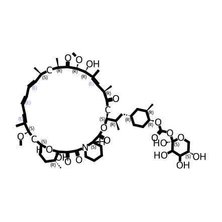 CO[C@H]1C[C@@H]2CC[C@@H](C)[C@@](O)(O2)C(=O)C(=O)N2CCCC[C@H]2C(=O)O[C@H]([C@H](C)C[C@H]2CC[C@@H](OC(=O)O[C@@]3(O)OC[C@H](O)C(O)C3O)[C@H](C)C2)CC(=O)[C@H](C)/C=C(\C)[C@@H](O)[C@@H](OC)C(=O)[C@H](C)C[C@H](C)/C=C/C=C/C=C/1C